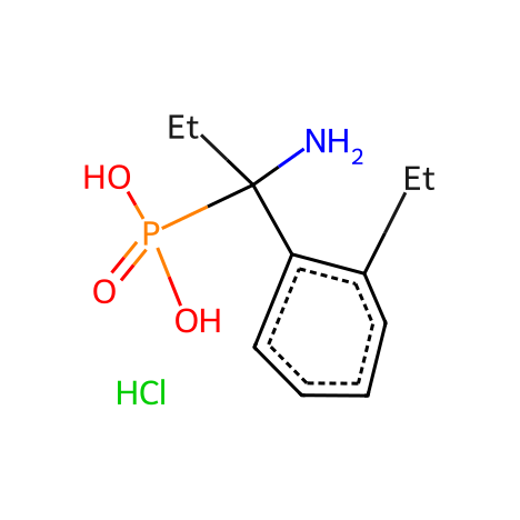 CCc1ccccc1C(N)(CC)P(=O)(O)O.Cl